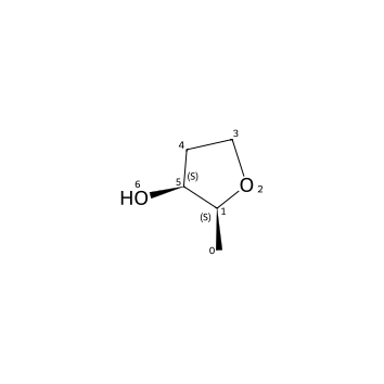 C[C@@H]1OCC[C@@H]1O